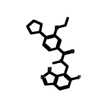 CCOc1cc(C(=O)N(C)Cc2c(F)ccc3cn[nH]c23)ccc1C1CCCC1